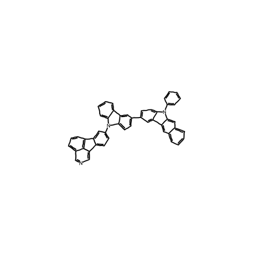 c1ccc(-n2c3ccc(-c4ccc5c(c4)c4ccccc4n5-c4ccc5c(c4)-c4cccc6cncc-5c46)cc3c3cc4ccccc4cc32)cc1